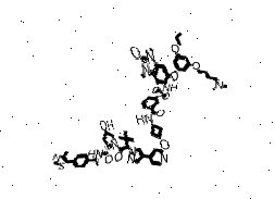 CCCOc1cc(OCCCCN(C)C)cc(Oc2cc3c(cc2NS(=O)(=O)c2cccc(C(=O)N[C@H]4C[C@@H](Oc5cc(-c6cnn(C(C(=O)N7C[C@H](O)C[C@H]7C(=O)N[C@@H](C)c7ccc(-c8scnc8C)cc7)C(C)(C)C)c6)ccn5)C4)c2)n(C)c(=O)n3C)c1